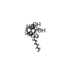 C/C=C/C=C/C=C/C(=O)O[C@@H]1C=C(CO)[C@](O)(CO)[C@@]2(C)CCCC(C)(C)[C@H]12